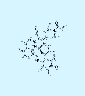 C=CC(=O)N1[C@H](C)CN(c2c(C#N)c(=O)n(C3=C(C)C=CN(C)C3C(C)C)c3nc(-c4c(F)c(Cl)c(F)c(O)c4Cl)c(Cl)cc23)C[C@@H]1C